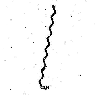 O=C(O)CC/C=C/CCCCCCCCCCBr